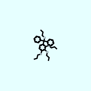 CCCOc1ccc(C(OCCC)(c2ccccc2)c2ccccc2)c(OCCC)c1OCCC